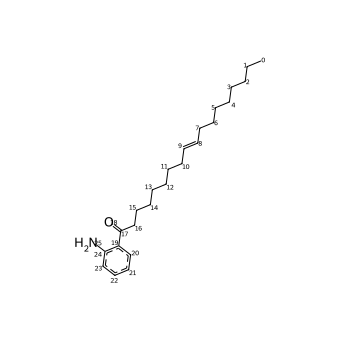 CCCCCCCCC=CCCCCCCCC(=O)c1ccccc1N